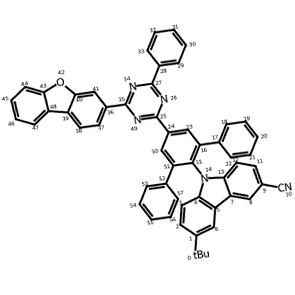 CC(C)(C)c1ccc2c(c1)c1cc(C#N)ccc1n2-c1c(-c2ccccc2)cc(-c2nc(-c3ccccc3)nc(-c3ccc4c(c3)oc3ccccc34)n2)cc1-c1ccccc1